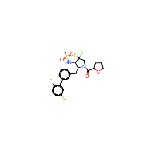 CS(=O)(=O)N[C@@H]1[C@H](Cc2cccc(-c3cc(F)ccc3F)c2)N(C(=O)[C@H]2CCCO2)CC1(F)F